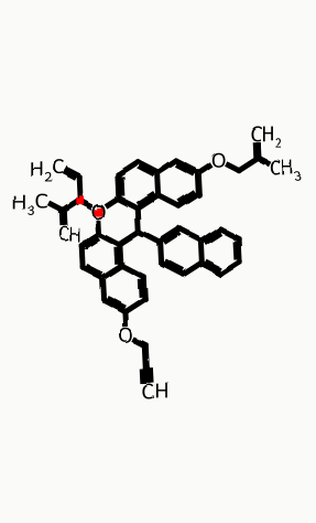 C#CCOc1ccc2c(C(c3ccc4ccccc4c3)c3c(OCC(=C)C)ccc4cc(OCC(=C)C)ccc34)c(OCC=C)ccc2c1